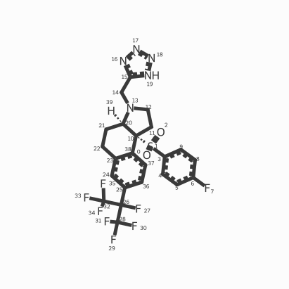 O=S(=O)(c1ccc(F)cc1)[C@@]12CCN(Cc3nnn[nH]3)[C@@H]1CCc1cc(C(F)(C(F)(F)F)C(F)(F)F)ccc12